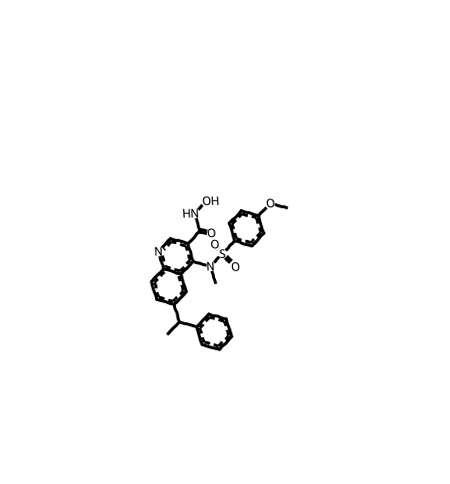 COc1ccc(S(=O)(=O)N(C)c2c(C(=O)NO)cnc3ccc(C(C)c4ccccc4)cc23)cc1